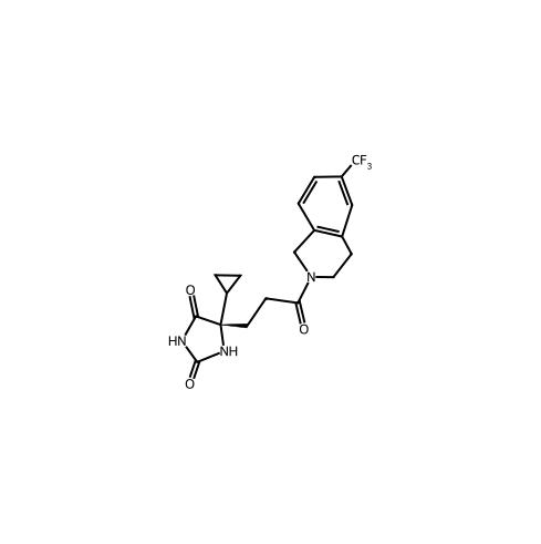 O=C1NC(=O)[C@](CCC(=O)N2CCc3cc(C(F)(F)F)ccc3C2)(C2CC2)N1